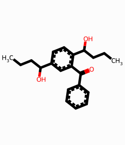 CCCC(O)c1ccc(C(O)CCC)c(C(=O)c2ccccc2)c1